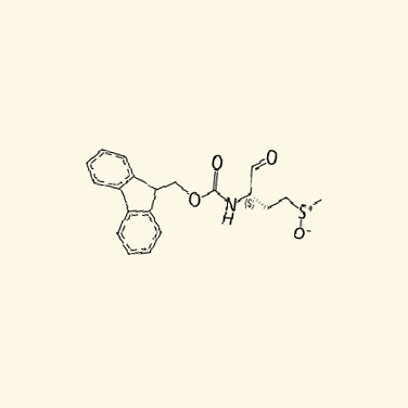 C[S+]([O-])CC[C@@H](C=O)NC(=O)OCC1c2ccccc2-c2ccccc21